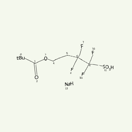 CC(C)(C)C(=O)OCCC(F)(F)C(F)(F)S(=O)(=O)O.[NaH]